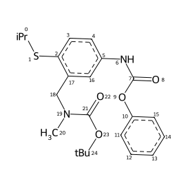 CC(C)Sc1ccc(NC(=O)Oc2ccccc2)cc1CN(C)C(=O)OC(C)(C)C